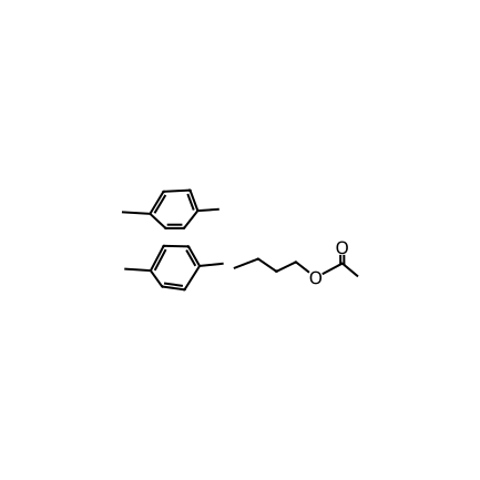 CCCCOC(C)=O.Cc1ccc(C)cc1.Cc1ccc(C)cc1